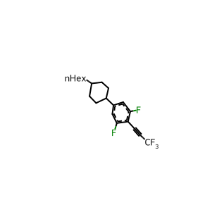 CCCCCCC1CCC(c2cc(F)c(C#CC(F)(F)F)c(F)c2)CC1